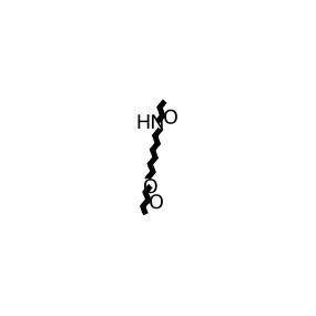 CCC(=O)COCCCCCCCCNC(=O)CC